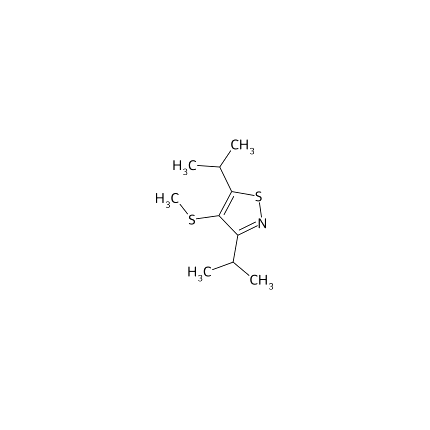 CSc1c(C(C)C)nsc1C(C)C